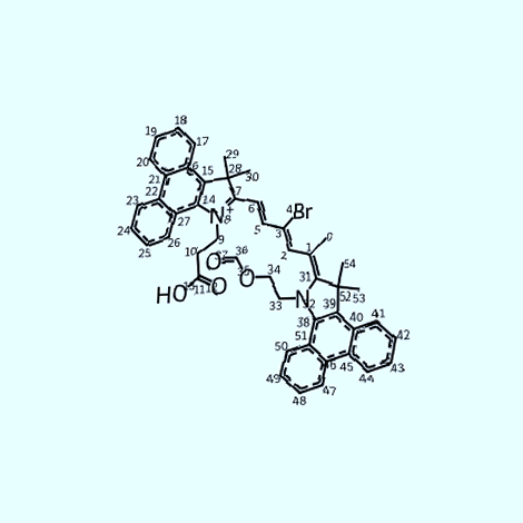 CC(/C=C(Br)/C=C/C1=[N+](CCC(=O)O)c2c(c3ccccc3c3ccccc23)C1(C)C)=C1/N(CCOC=O)c2c(c3ccccc3c3ccccc23)C1(C)C